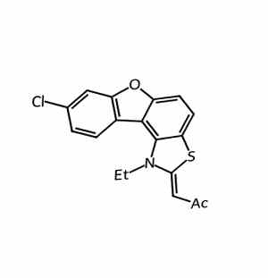 CCN1/C(=C/C(C)=O)Sc2ccc3oc4cc(Cl)ccc4c3c21